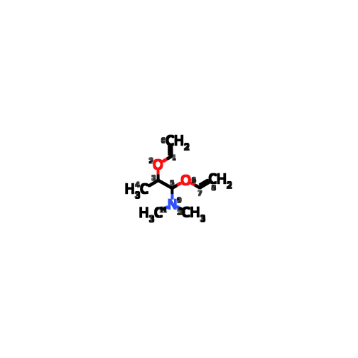 C=COC(C)C(OC=C)N(C)C